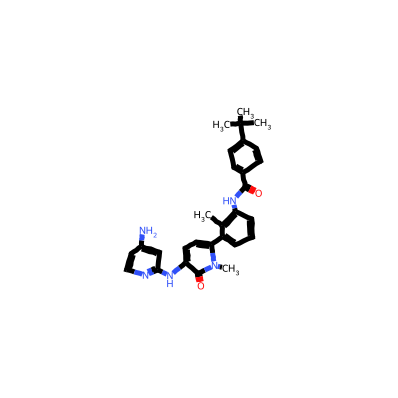 Cc1c(NC(=O)c2ccc(C(C)(C)C)cc2)cccc1-c1ccc(Nc2cc(N)ccn2)c(=O)n1C